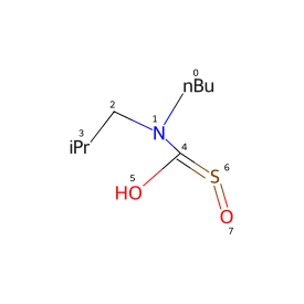 CCCCN(CC(C)C)C(O)=S=O